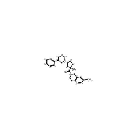 CC(C)[C@]1(C(=O)N2CCc3ncc(C(F)(F)F)cc3C2)CC[C@@H](N2CCCC(c3ccccc3)C2)C1